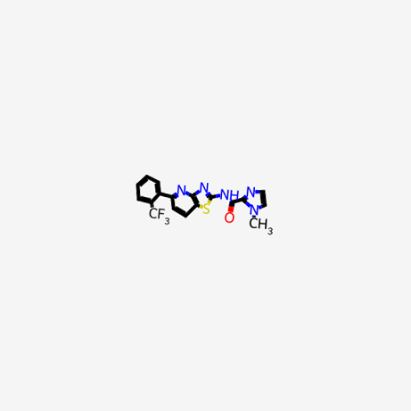 Cn1ccnc1C(=O)Nc1nc2nc(-c3ccccc3C(F)(F)F)ccc2s1